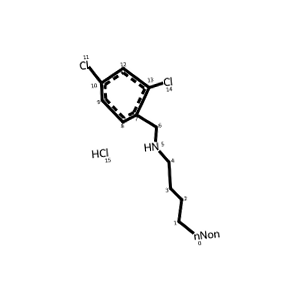 CCCCCCCCCCCCCNCc1ccc(Cl)cc1Cl.Cl